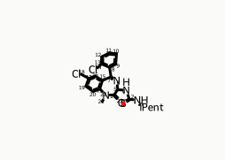 CCCC(C)NC(=S)NC1N=C(c2ccccc2Cl)c2cc(Cl)ccc2N(C)C1=O